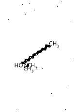 CCCCCCCCCCCCCC(CO)N(C)C